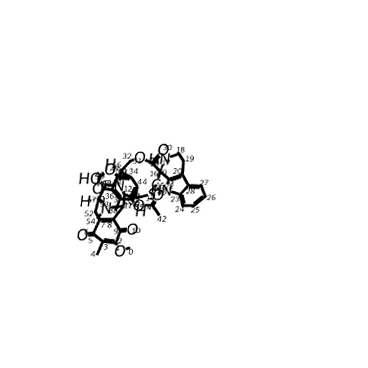 COC1=C(C)C(=O)C2=C(C1=O)C1C3[C@@H]4SC[C@]5(NCCc6c5[nH]c5ccccc65)C(=O)OC[C@@H](c5c6c(c(C)c(OC(C)=O)c54)OCO6)N3[C@@H](O)[C@H](C2)N1C